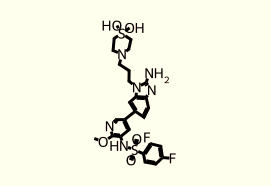 COc1ncc(-c2ccc3nc(N)n(CCCN4CCS(O)(O)CC4)c3c2)cc1NS(=O)(=O)c1ccc(F)cc1F